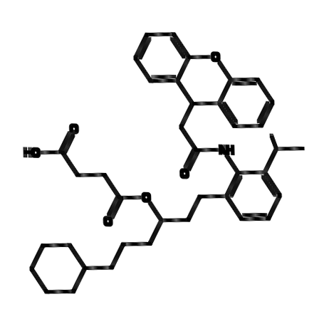 CC(C)c1cccc(CCC(CCCC2CCCCC2)OC(=O)CCC(=O)O)c1NC(=O)CC1c2ccccc2Oc2ccccc21